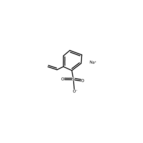 C=Cc1ccccc1S(=O)(=O)[O-].[Na+]